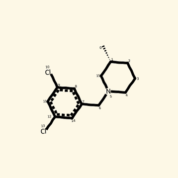 C[C@@H]1CCCN(Cc2cc(Cl)cc(Cl)c2)C1